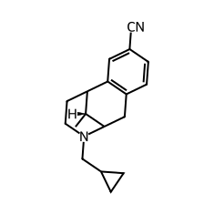 C[C@@H]1C2CCN(CC3CC3)C1Cc1ccc(C#N)cc12